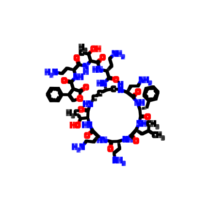 CC(C)C[C@@H]1NC(=O)[C@@H](Cc2ccccc2)NC(=O)[C@H](CCN)NC[C@@H](NC(=O)[C@H](CCN)NC(=O)[C@@H](NC(=O)[C@H](CCN)NC(=O)C2C(=O)OCC2c2ccccc2)C(C)O)CCNC(=O)[C@H]([C@H](C)O)NC(=O)[C@H](CCN)NC(=O)[C@H](CCN)NC1=O